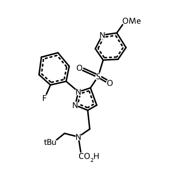 COc1ccc(S(=O)(=O)c2cc(CN(CC(C)(C)C)C(=O)O)nn2-c2ccccc2F)cn1